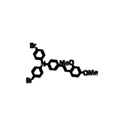 COc1ccc(C=Cc2ccc(N(c3ccc(Br)cc3)c3ccc(Br)cc3)cc2)c(OC)c1